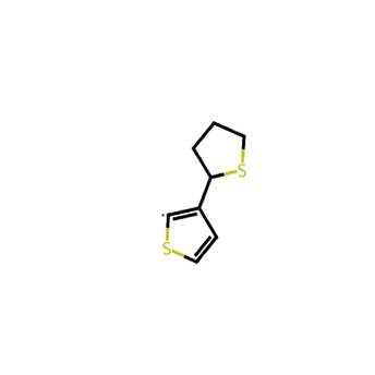 [c]1sccc1C1CCCS1